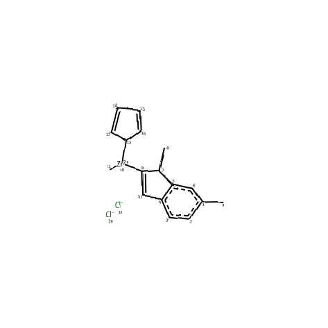 Cc1ccc2c(c1)C(C)[C]([Zr+2]([CH3])[CH]1C=CC=C1)=C2.[Cl-].[Cl-]